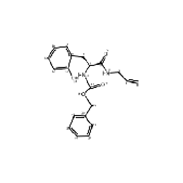 C=CCNC(=O)[C@H](Cc1ccccc1O)NC(=O)OCc1ccccc1